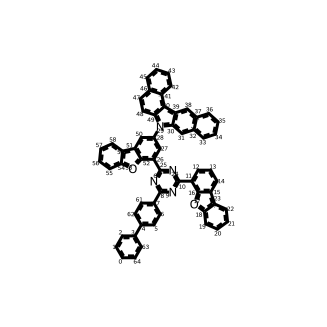 c1ccc(-c2ccc(-c3nc(-c4cccc5c4oc4ccccc45)nc(-c4cc(-n5c6cc7ccccc7cc6c6c7ccccc7ccc65)cc5c4oc4ccccc45)n3)cc2)cc1